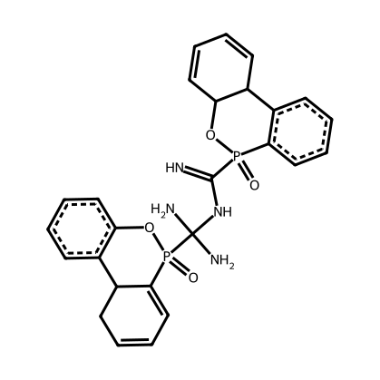 N=C(NC(N)(N)P1(=O)Oc2ccccc2C2CC=CC=C21)P1(=O)OC2C=CC=CC2c2ccccc21